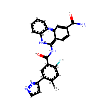 N=C1C=C(C(N)=O)C=C/C1=C(\NC(=O)c1cc(-c2cc[nH]n2)c(C(F)(F)F)cc1F)Nc1ccccc1